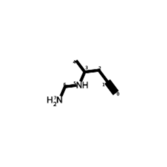 C#CCC(C)NCN